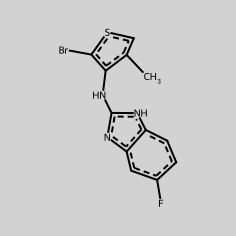 Cc1csc(Br)c1Nc1nc2cc(F)ccc2[nH]1